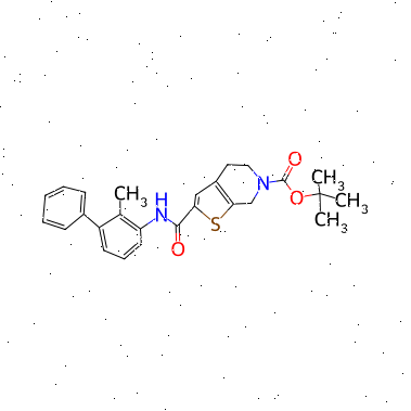 Cc1c(NC(=O)c2cc3c(s2)CN(C(=O)OC(C)(C)C)CC3)cccc1-c1ccccc1